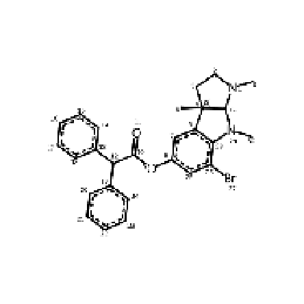 CN1CC[C@@]2(C)c3cc(OC(=O)C(c4ccccc4)c4ccccc4)cc(Br)c3N(C)C12